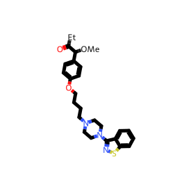 CCC(=O)C(OC)c1ccc(OCCCCN2CCN(c3nsc4ccccc34)CC2)cc1